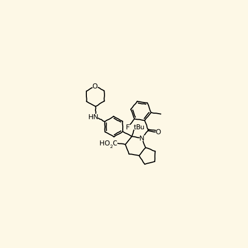 Cc1cccc(F)c1C(=O)N1C2CCCC2CC(C(=O)O)C1(c1ccc(NC2CCOCC2)cc1)C(C)(C)C